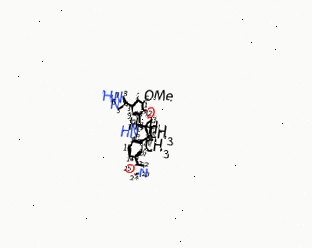 COc1cc(-c2cn[nH]c2)cc2c1OC[C@H]1[C@@H]2Nc2ccc(-c3cnco3)cc2C1(C)C